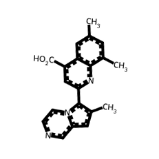 Cc1cc(C)c2nc(-c3c(C)cc4cnccn34)cc(C(=O)O)c2c1